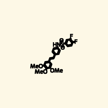 COc1cc(C=Cc2ccc(NS(=O)(=O)c3ccc(F)c(F)c3)cc2)cc(OC)c1OC